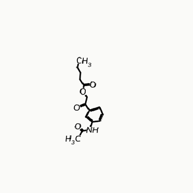 CCCCC(=O)OCC(=O)c1cccc(NC(C)=O)c1